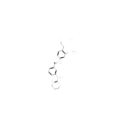 COc1cc(NC(=O)c2cccc(NC3=NCCCN3)c2)ccc1CCC(=O)O